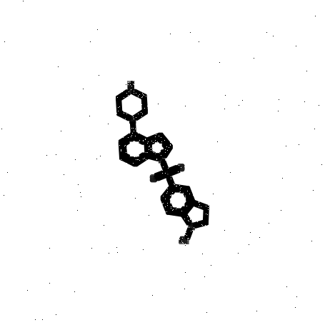 CC(=O)N1CCc2cc(S(=O)(=O)n3ccc4c(N5CCNCC5)cccc43)ccc21